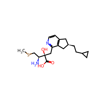 CSC[C@H](N)[C@](O)(Cc1nccc2c1C[C@H](CCC1CC1)C2)C(=O)O